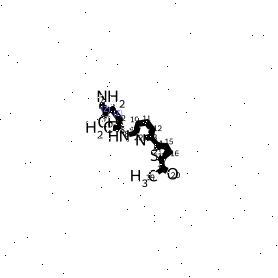 C=C(/C=C\C(C)=C/N)Nc1cccc(-c2ccc(C(C)=O)s2)n1